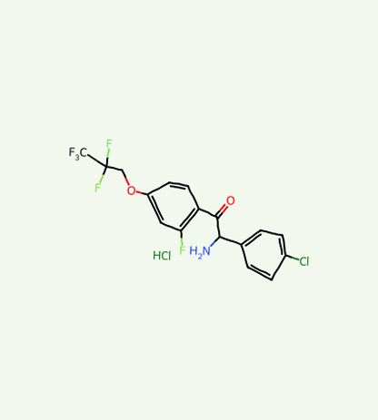 Cl.NC(C(=O)c1ccc(OCC(F)(F)C(F)(F)F)cc1F)c1ccc(Cl)cc1